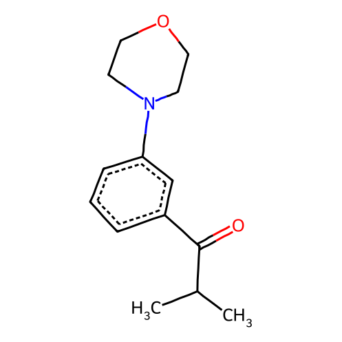 CC(C)C(=O)c1cccc(N2CCOCC2)c1